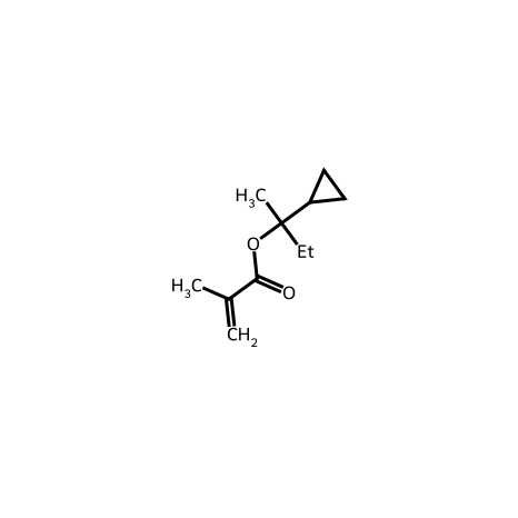 C=C(C)C(=O)OC(C)(CC)C1CC1